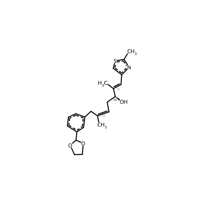 C/C(=C/C[C@H](O)/C(C)=C/c1csc(C)n1)Cc1cccc(C2OCCO2)c1